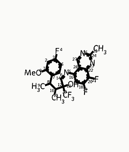 COc1cc(F)ccc1C(C)C(C)C(O)(C=Nc1cc(F)c(F)c2nc(C)ncc12)C(F)(F)F